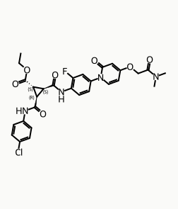 CCOC(=O)[C@H]1[C@H](C(=O)Nc2ccc(Cl)cc2)[C@@H]1C(=O)Nc1ccc(-n2ccc(OCC(=O)N(C)C)cc2=O)cc1F